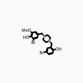 COc1cc(CN2CCN(Cc3cc(Br)ccc3O)CC2)cc(Br)c1O